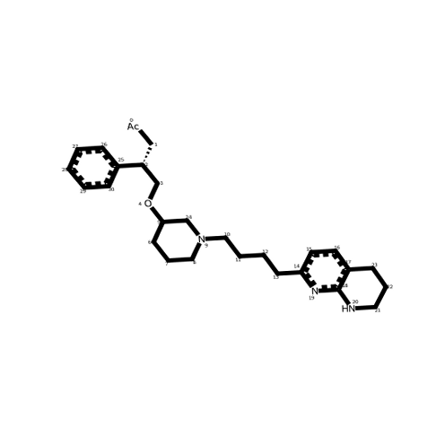 CC(=O)C[C@H](COC1CCCN(CCCCc2ccc3c(n2)NCCC3)C1)c1ccccc1